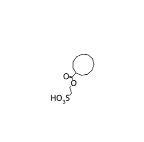 O=C(OCCS(=O)(=O)O)C1CCCCCCCCCC1